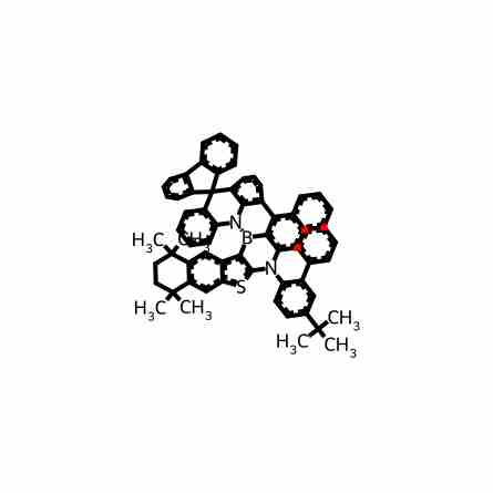 CC(C)(C)c1ccc(N2c3cc4ccccc4c4c3B(c3c2sc2cc5c(cc32)C(C)(C)CCC5(C)C)N2c3ccccc3C3(c5ccccc5-c5ccccc53)c3cccc-4c32)c(-c2ccccc2)c1